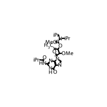 COC1C(OP(OC)N(C(C)C)C(C)C)[C@@H](C)O[C@H]1n1cnc2c(=O)[nH]c(NC(=O)C(C)C)nc21